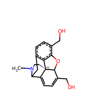 CN1CC[C@@]23C4=CC=C(CO)C2Oc2c(CO)ccc(c23)CC41